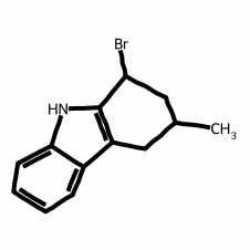 CC1Cc2c([nH]c3ccccc23)C(Br)C1